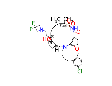 C[C@@H]1[C@@H](C)CCC[C@@](O)(CCN2CC(F)(F)C2)[C@@H]2CC[C@H]2CN2CCCCc3cc(Cl)ccc3COc3ccc(cc32)C(=O)NS1(=O)=O